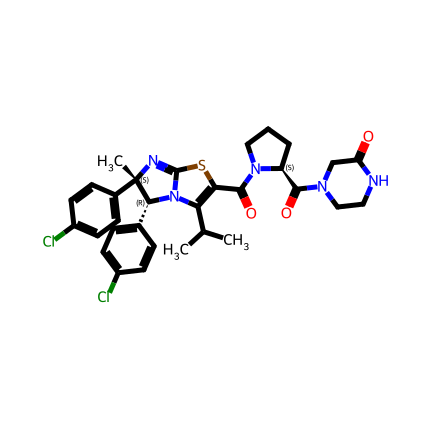 CC(C)C1=C(C(=O)N2CCC[C@H]2C(=O)N2CCNC(=O)C2)SC2=N[C@@](C)(c3ccc(Cl)cc3)[C@@H](c3ccc(Cl)cc3)N21